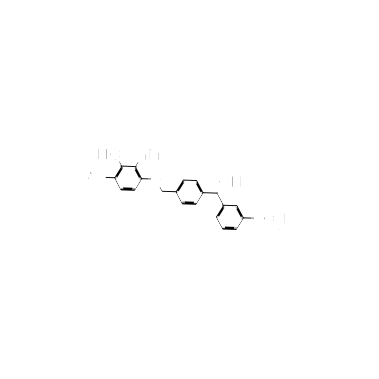 CCCc1c(OCc2ccc([C@H](O)c3cccc(C(=O)O)c3)cc2)ccc(C(C)=O)c1O